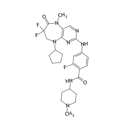 CN1CCC(NC(=O)c2ccc(Nc3ncc4c(n3)N(C3CCCC3)CC(F)(F)C(=O)N4C)cc2F)CC1